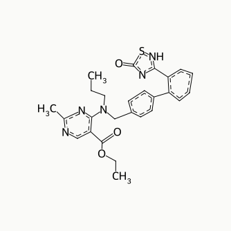 CCCN(Cc1ccc(-c2ccccc2-c2nc(=O)s[nH]2)cc1)c1nc(C)ncc1C(=O)OCC